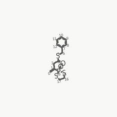 C=C(CC(=O)SCc1ccccc1)P1(=O)SCCS1